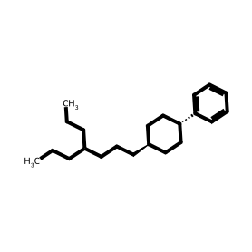 CCCC(CCC)CCC[C@H]1CC[C@H](c2[c]cccc2)CC1